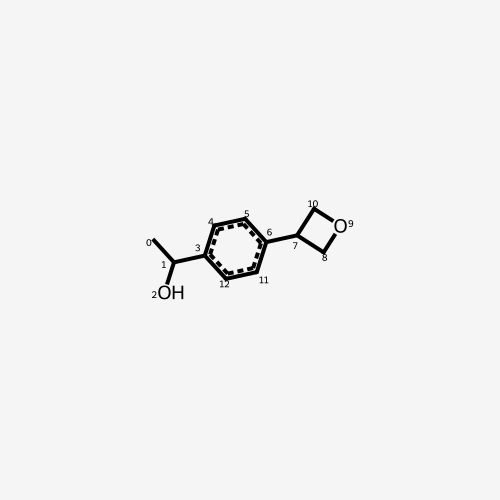 CC(O)c1ccc(C2COC2)cc1